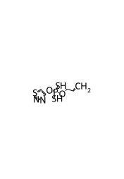 C=CCOP(=O)(S)S.c1csnn1